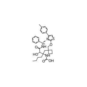 CCCCC(CC1(COc2nc(-c3ccc(C)cc3)cs2)CCC1)(NC(=O)O)C(O)C(=O)N[C@H](C)c1ccccc1